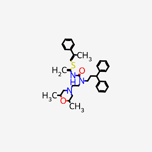 C=C(NC(=O)N(CCC(c1ccccc1)c1ccccc1)CCN1CC(C)OC(C)C1)S/C=C(\C)c1ccccc1